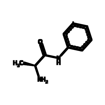 C[C@H](N)C(=O)Nc1c[c]ccc1